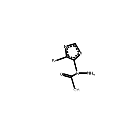 NN(C(=O)O)c1scnc1Br